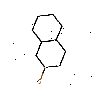 [S]C1CCC2CCCCC2C1